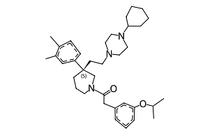 Cc1ccc([C@@]2(CCN3CCN(C4CCCCC4)CC3)CCCN(C(=O)Cc3cccc(OC(C)C)c3)C2)cc1C